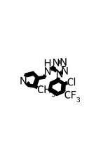 Cc1cnccc1CNc1nnnn1-c1cccc(C(F)(F)F)c1Cl